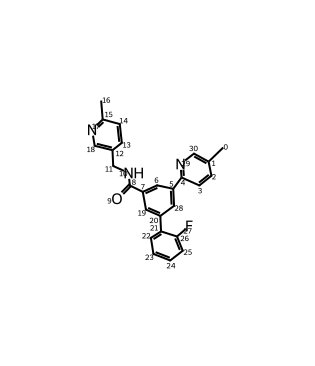 Cc1ccc(-c2cc(C(=O)NCc3ccc(C)nc3)cc(-c3ccccc3F)c2)nc1